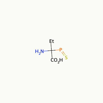 CCC(N)(P=S)C(=O)O